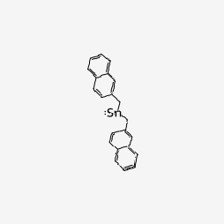 c1ccc2cc([CH2][Sn][CH2]c3ccc4ccccc4c3)ccc2c1